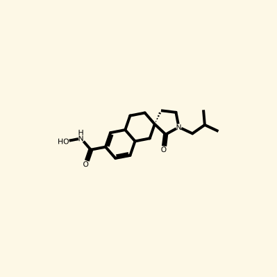 CC(C)CN1CC[C@]2(CCC3C=C(C(=O)NO)C=CC3C2)C1=O